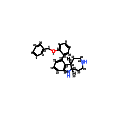 c1ccc(COc2ccccc2-c2cccc3c2[C@@H]2CCNCC[C@@H]2N3)cc1